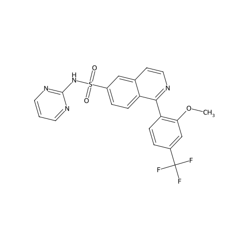 COc1cc(C(F)(F)F)ccc1-c1nccc2cc(S(=O)(=O)Nc3ncccn3)ccc12